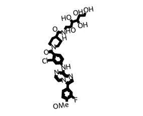 COc1ccc(-c2cnc3c(Nc4ccc(C(=O)N5CCC(C(=O)NCC(O)C(O)C(O)C(O)CO)CC5)c(Cl)c4)nccn23)cc1F